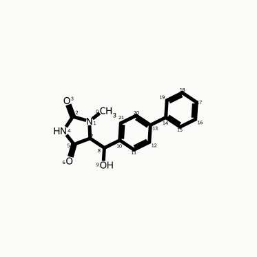 CN1C(=O)NC(=O)C1C(O)c1ccc(-c2ccccc2)cc1